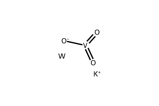 [K+].[O]=[V](=[O])[O-].[W]